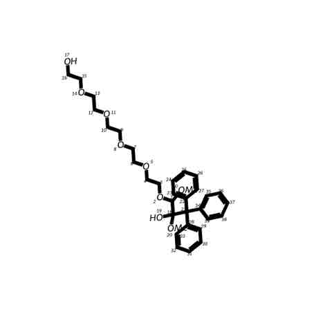 COC(OCCOCCOCCOCCOCCO)C(O)(OC)C(c1ccccc1)(c1ccccc1)c1ccccc1